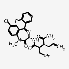 C=CC[C@H](C(N)=O)[C@@H](CC(C)C)C(=O)N[C@H]1N=C(c2ccccc2F)c2cc(Cl)ccc2N(C)C1=O